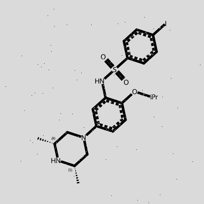 CC(C)Oc1ccc(N2C[C@@H](C)N[C@@H](C)C2)cc1NS(=O)(=O)c1ccc(I)cc1